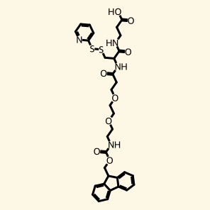 O=C(O)CCNC(=O)C(CSSc1ccccn1)NC(=O)CCOCCOCCNC(=O)OCC1c2ccccc2-c2ccccc21